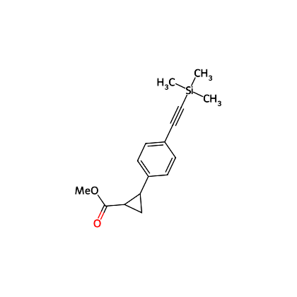 COC(=O)C1CC1c1ccc(C#C[Si](C)(C)C)cc1